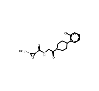 O=C(O)[C@H]1O[C@@H]1C(=O)NCC(=O)N1CCN(c2ccccc2Cl)CC1